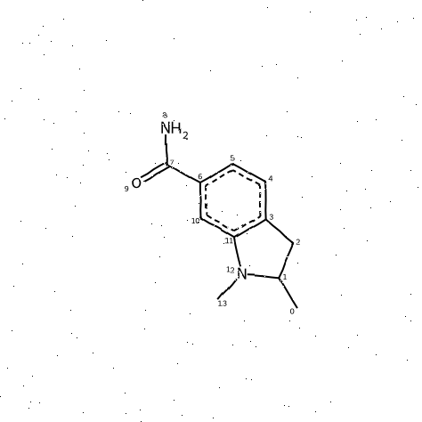 CC1Cc2ccc(C(N)=O)cc2N1C